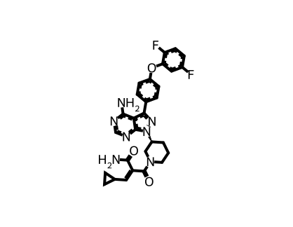 NC(=O)C(=CC1CC1)C(=O)N1CCC[C@H](n2nc(-c3ccc(Oc4cc(F)ccc4F)cc3)c3c(N)ncnc32)C1